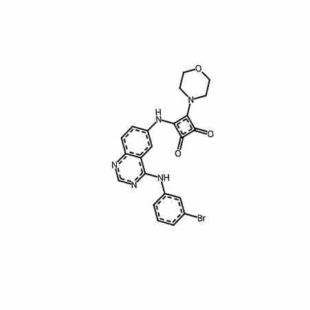 O=c1c(Nc2ccc3ncnc(Nc4cccc(Br)c4)c3c2)c(N2CCOCC2)c1=O